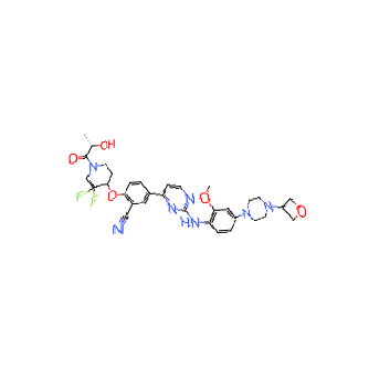 COc1cc(N2CCN(C3COC3)CC2)ccc1Nc1nccc(-c2ccc(OC3CCN(C(=O)[C@H](C)O)CC3(F)F)c(C#N)c2)n1